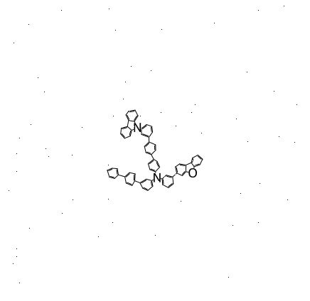 c1ccc(-c2ccc(-c3cccc(N(c4ccc(-c5ccc(-c6cccc(-n7c8ccccc8c8ccccc87)c6)cc5)cc4)c4cccc(-c5ccc6c(c5)oc5ccccc56)c4)c3)cc2)cc1